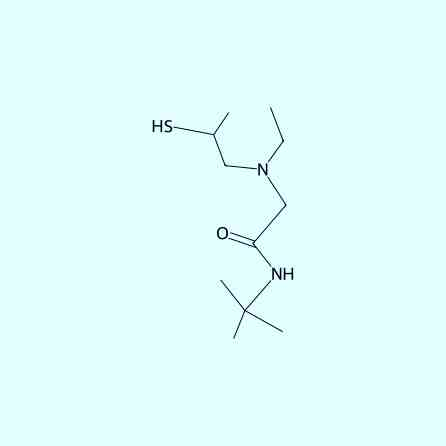 CCN(CC(=O)NC(C)(C)C)CC(C)S